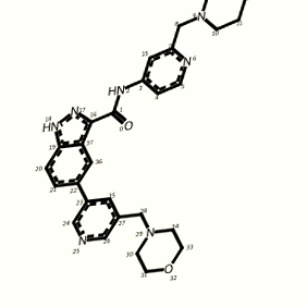 O=C(Nc1ccnc(CN2CCCCC2)c1)c1n[nH]c2ccc(-c3cncc(CN4CCOCC4)c3)cc12